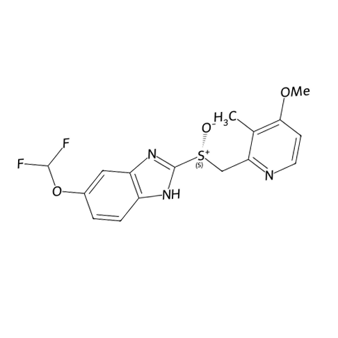 COc1ccnc(C[S@@+]([O-])c2nc3cc(OC(F)F)ccc3[nH]2)c1C